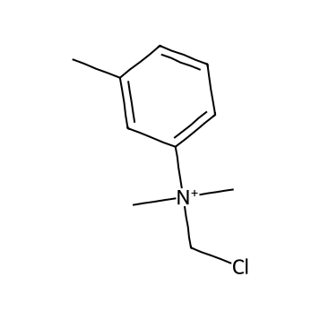 Cc1cccc([N+](C)(C)CCl)c1